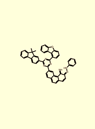 CC1(C)c2ccccc2-c2ccc(-c3nc(-c4ccc5ccc6c(c5c4)C(=N)/C(=N\Nc4ccccc4)C=C6)nc(-c4cccc5oc6ccccc6c45)n3)cc21